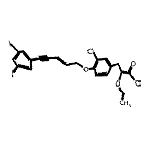 CCOC(Cc1ccc(OCC=CC#Cc2cc(I)cc(I)c2)c(Cl)c1)C(=O)O